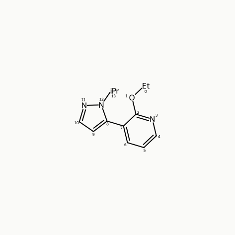 CCOc1ncccc1-c1ccnn1C(C)C